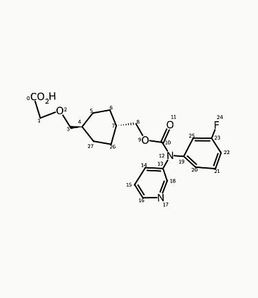 O=C(O)COC[C@H]1CC[C@H](COC(=O)N(c2cccnc2)c2cccc(F)c2)CC1